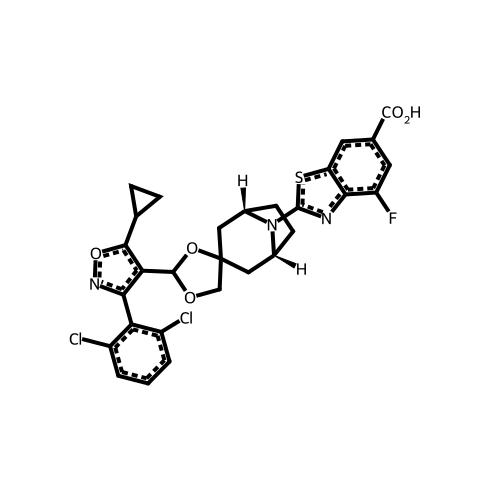 O=C(O)c1cc(F)c2nc(N3[C@@H]4CC[C@H]3CC3(COC(c5c(-c6c(Cl)cccc6Cl)noc5C5CC5)O3)C4)sc2c1